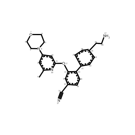 Cc1cc(N2CCOCC2)cc(Oc2cc(C#N)ccc2-c2ccc(CCN)cc2)n1